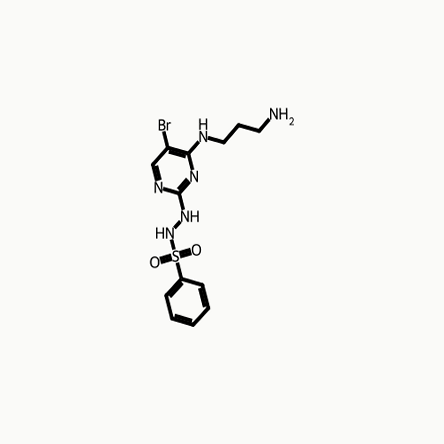 NCCCNc1nc(NNS(=O)(=O)c2ccccc2)ncc1Br